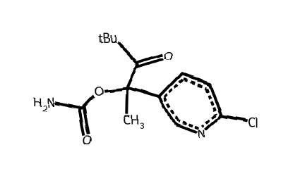 CC(C)(C)C(=O)C(C)(OC(N)=O)c1ccc(Cl)nc1